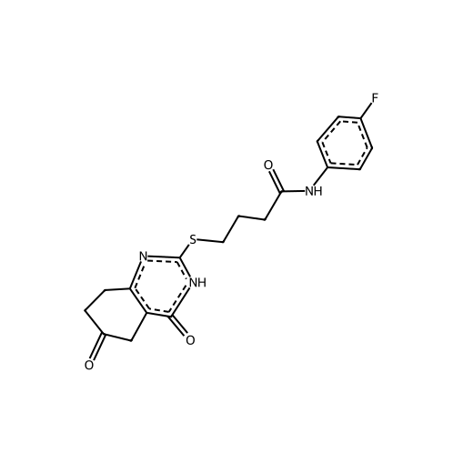 O=C1CCc2nc(SCCCC(=O)Nc3ccc(F)cc3)[nH]c(=O)c2C1